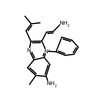 CC(C)=Cc1nc2cc(C)c(N)cc2[n+](-c2ccccc2)c1/C=C/N